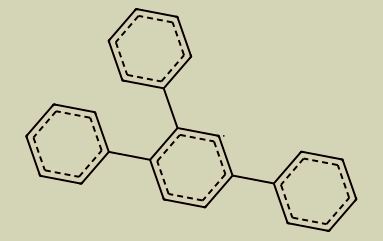 [c]1c(-c2ccccc2)ccc(-c2ccccc2)c1-c1ccccc1